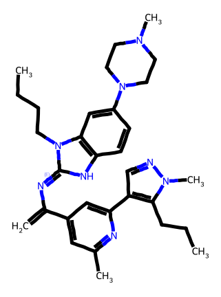 C=C(/N=c1\[nH]c2ccc(N3CCN(C)CC3)cc2n1CCCC)c1cc(C)nc(-c2cnn(C)c2CCC)c1